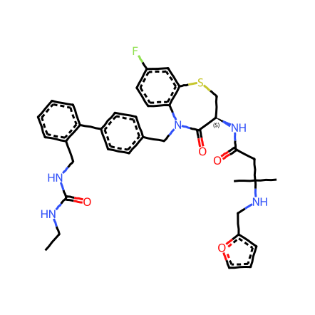 CCNC(=O)NCc1ccccc1-c1ccc(CN2C(=O)[C@H](NC(=O)CC(C)(C)NCc3ccco3)CSc3cc(F)ccc32)cc1